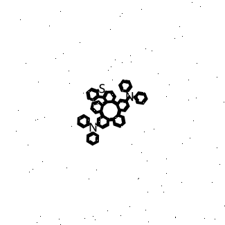 c1ccc(N(c2ccccc2)c2ccc3c4ccccc4c4ccc(N(c5ccccc5)c5ccccc5)cc4c4ccc5sc6ccccc6c5c4c4ccccc4c3c2)cc1